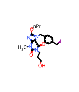 CCCOc1nc2c(c(=O)n(CCCO)c(=O)n2C)n1Cc1ccc(CI)cc1